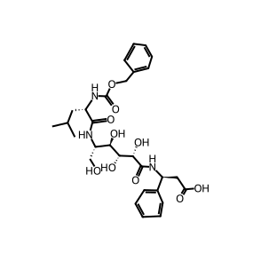 CC(C)C[C@H](NC(=O)OCc1ccccc1)C(=O)N[C@@H](CO)[C@@H](O)[C@@H](O)[C@H](O)C(=O)N[C@@H](CC(=O)O)c1ccccc1